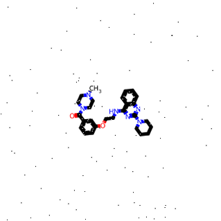 CN1CCN(C(=O)c2cccc(OCCNc3nc(N4CCCCC4)nc4ccccc34)c2)CC1